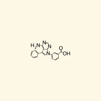 Nc1ncnc2c1c(-c1ccccc1)cn2-c1cccc(C(=O)O)c1